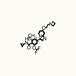 COc1cc(-c2cnc3cc(OCCN4CCC4)ccn23)cc(OC(F)F)c1C(=O)NC1CC1